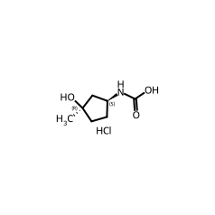 C[C@@]1(O)CC[C@H](NC(=O)O)C1.Cl